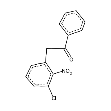 O=C(Cc1cccc(Cl)c1[N+](=O)[O-])c1ccccc1